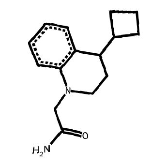 NC(=O)CN1CCC(C2CCC2)c2ccccc21